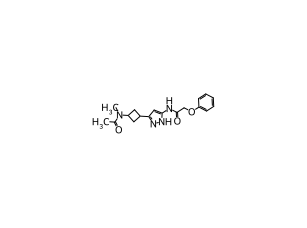 CC(=O)N(C)C1CC(c2cc(NC(=O)COc3ccccc3)[nH]n2)C1